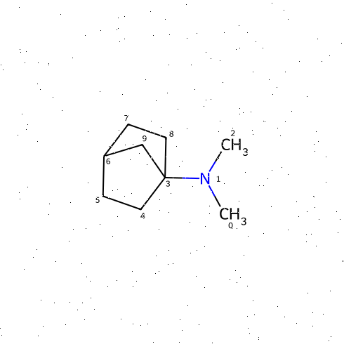 CN(C)C12CCC(CC1)C2